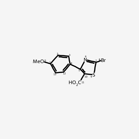 COc1ccc(-c2nc(Br)sc2C(=O)O)cc1